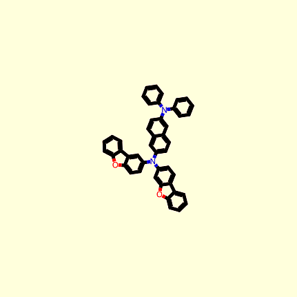 c1ccc(N(c2ccccc2)c2ccc3cc(N(c4ccc5c(c4)oc4ccccc45)c4ccc5oc6ccccc6c5c4)ccc3c2)cc1